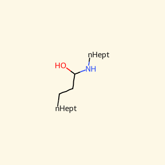 CCCCCCCCCC(O)NCCCCCCC